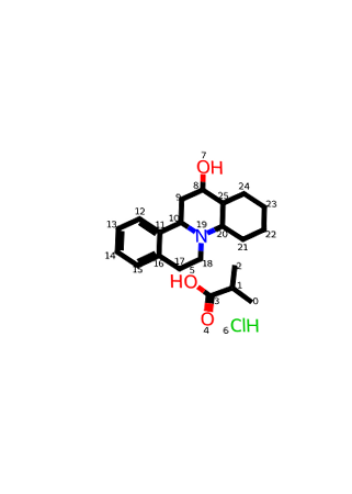 CC(C)C(=O)O.Cl.OC1CC2c3ccccc3CCN2C2CCCCC12